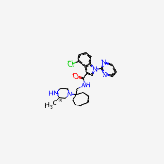 C[C@@H]1CN(C2(CNC(=O)c3cn(-c4ncccn4)c4cccc(Cl)c34)CCCCCC2)CCN1